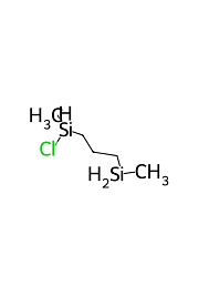 C[SiH2]CCC[SiH](C)Cl